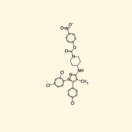 Cc1c(NC2CCN(C(=O)Oc3ccc([N+](=O)[O-])cc3)CC2)nn(-c2ccc(Cl)cc2Cl)c1-c1ccc(Cl)cc1